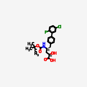 CC(C)(C)OC(=O)N[C@H](Cc1ccc(-c2cc(Cl)ccc2F)cc1)C[C@@H](O)C(=O)O